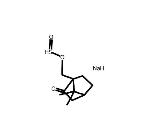 CC1(C)C2CCC1(CO[SH]=O)C(=O)C2.[NaH]